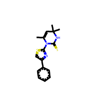 CC1=CC(C)(C)NC(=S)N1c1nc(-c2ccccc2)cs1